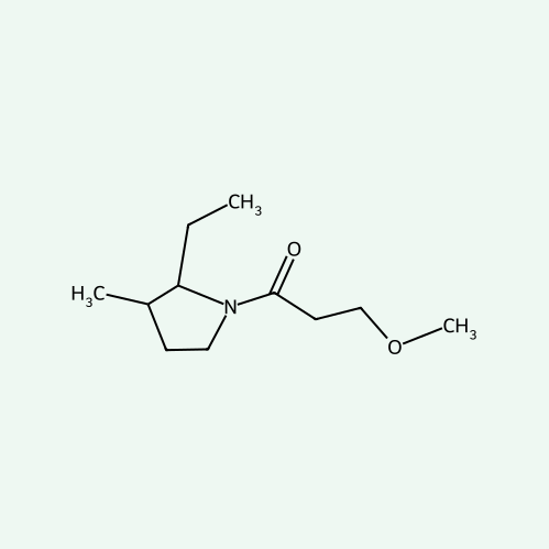 CCC1C(C)CCN1C(=O)CCOC